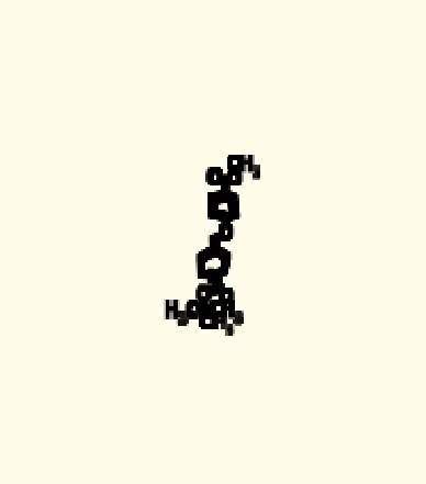 COC(=O)c1ccc(OCC2CCN(C(=O)OC(C)(C)C)CC2)cc1